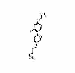 CCCCCC1=CCC(c2ccc(OCC)cc2F)OC1